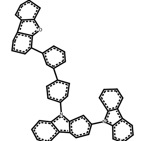 c1cc(-c2ccc(-n3c4ccccc4c4ccc(-n5c6ccccc6c6ccccc65)cc43)cc2)cc(-c2cccc3c2oc2ccccc23)c1